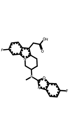 CN(c1nc2ccc(F)cc2o1)C1CCc2c(CC(=O)O)c3ccc(F)cc3n2C1